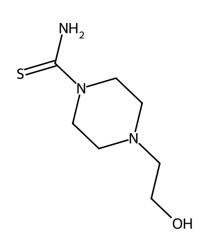 NC(=S)N1CCN(CCO)CC1